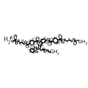 C=CC(=O)OCCCCOC(=O)C1CCC(C(=O)Oc2ccc(OC(=O)C3CCC(C(=O)OCCCCOC(=O)C=C)CC3)c(/C=N/N(CCO/C=C/C)c3nc4ccccc4s3)c2)CC1